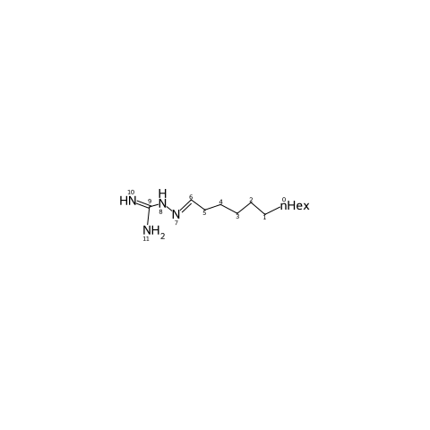 CCCCCCCCCCCC=NNC(=N)N